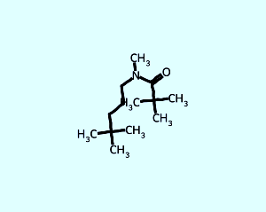 CN(CCCC(C)(C)C)C(=O)C(C)(C)C